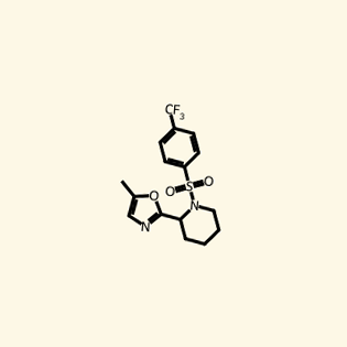 Cc1cnc(C2CCCCN2S(=O)(=O)c2ccc(C(F)(F)F)cc2)o1